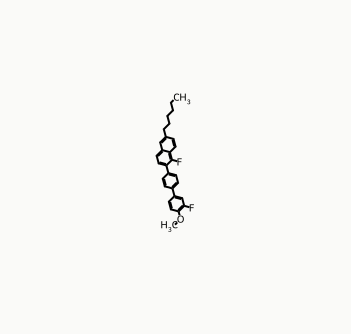 CCCCCCc1ccc2c(F)c(-c3ccc(-c4ccc(OC)c(F)c4)cc3)ccc2c1